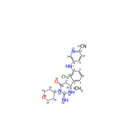 C[C@@]1(c2cccc(Nc3ccc(C#N)nc3)c2Cl)CC(=O)N(C2CCOCC2)C(=N)N1